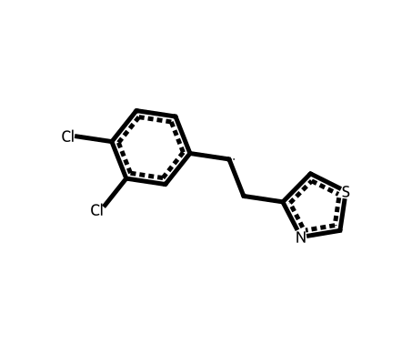 Clc1ccc([CH]Cc2cscn2)cc1Cl